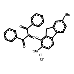 CC(C)(C)c1ccc2c(c1)Cc1c-2ccc(C(C)(C)C)[c]1[Zr+2]=[C](C(=O)c1ccccc1)C(=O)c1ccccc1.[Cl-].[Cl-]